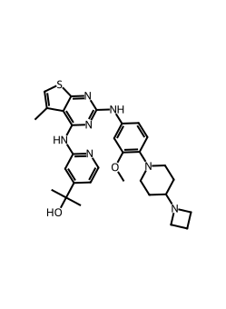 COc1cc(Nc2nc(Nc3cc(C(C)(C)O)ccn3)c3c(C)csc3n2)ccc1N1CCC(N2CCC2)CC1